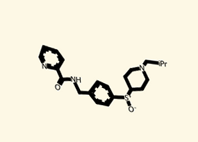 CC(C)CN1CCC([S+]([O-])c2ccc(CNC(=O)c3ccccn3)cc2)CC1